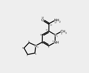 CN1NC=C(N2CCCC2)C=C1C(N)=O